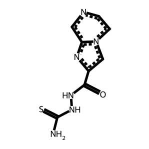 NC(=S)NNC(=O)c1cn2ccncc2n1